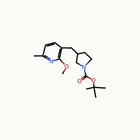 COc1nc(C)ccc1CC1CCN(C(=O)OC(C)(C)C)C1